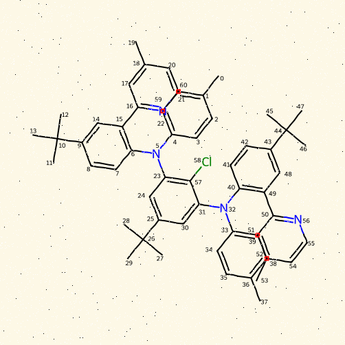 Cc1ccc(N(c2ccc(C(C)(C)C)cc2-c2cc(C)ccn2)c2cc(C(C)(C)C)cc(N(c3ccc(C)cc3)c3ccc(C(C)(C)C)cc3-c3cc(C)ccn3)c2Cl)cc1